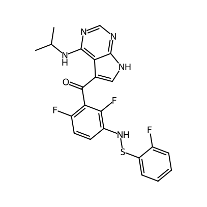 CC(C)Nc1ncnc2[nH]cc(C(=O)c3c(F)ccc(NSc4ccccc4F)c3F)c12